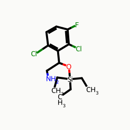 CC[Si](CC)(CC)OC(CN)c1c(Cl)ccc(F)c1Cl